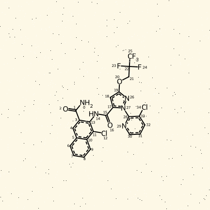 NC(=O)c1cc2ccccc2c(Cl)c1NC(=O)c1cc(OCC(F)(F)C(F)(F)F)nn1-c1ncccc1Cl